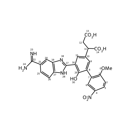 COc1ccc([N+](=O)[O-])cc1-c1cc(C(CC(=O)O)C(=O)O)cc(-c2nc3cc(C(=N)N)ccc3[nH]2)c1O